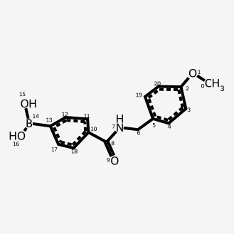 COc1ccc(CNC(=O)c2ccc(B(O)O)cc2)cc1